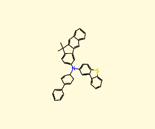 CC1(C)c2ccc(N(c3ccc4sc5ccccc5c4c3)C3C=CC(c4ccccc4)=CC3)cc2-c2cc3ccccc3cc21